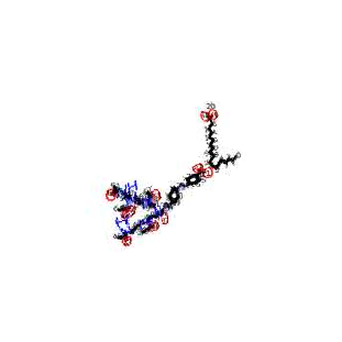 CCCCCCC(CCCCCCCCCCC(=O)OC)OC(=O)c1ccc(/C=C/c2ccc(/C=C/C(=O)N(CCN(CCNC(C)=O)C(C)=O)CCN(CCN(CCNC(C)=O)C(C)=O)C(C)=O)cc2)cc1